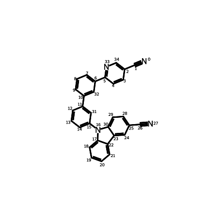 N#Cc1ccc(-c2cccc(-c3cccc(-n4c5ccccc5c5cc(C#N)ccc54)c3)c2)nc1